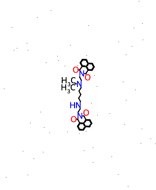 CC(C)N(CCCCCNCCN1C(=O)c2cccc3cccc(c23)C1=O)CCN1C(=O)c2cccc3cccc(c23)C1=O